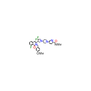 CNC(=O)c1ccc(N2CCC(N3CC(c4cc5cccc(F)c5c(=O)n4Cc4ccc(OC)cc4)C(F)(F)C3)CC2)cn1